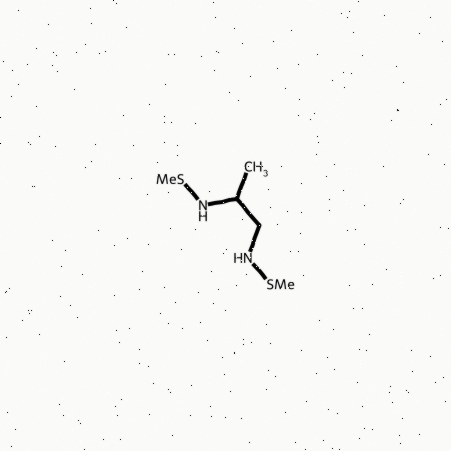 CSNCC(C)NSC